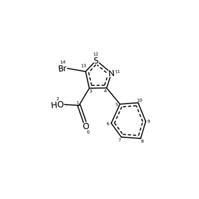 O=C(O)c1c(-c2ccccc2)nsc1Br